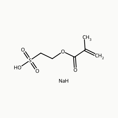 C=C(C)C(=O)OCCS(=O)(=O)O.[NaH]